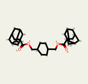 O=C(OCC1CCC(COC(=O)C23CC4CC(C2)C(F)C(C4)C3)CC1)C12CC3CC(C1)C(F)C(C3)C2